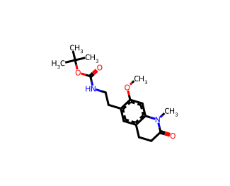 COc1cc2c(cc1CCNC(=O)OC(C)(C)C)CCC(=O)N2C